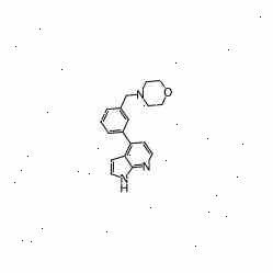 c1cc(CN2CCOCC2)cc(-c2ccnc3[nH]ccc23)c1